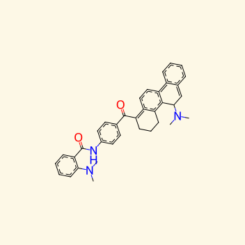 CN(C)c1ccccc1C(=O)Nc1ccc(C(=O)C2=c3ccc4c(c3CCC2)C(N(C)C)C=c2ccccc2=4)cc1